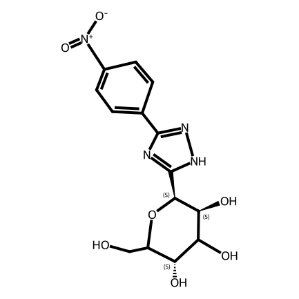 O=[N+]([O-])c1ccc(-c2n[nH]c([C@@H]3OC(CO)[C@@H](O)C(O)[C@@H]3O)n2)cc1